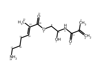 C=C(C)C(=O)NC(O)COC(=O)C(C)=CCCCN